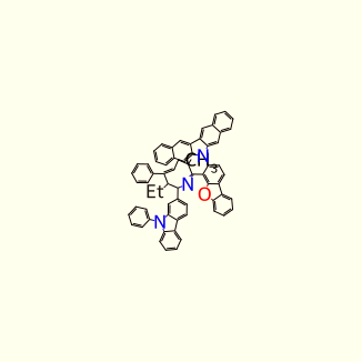 CCC1/C(c2ccccc2)=C/CC(C)/C(c2c(-n3c4cc5ccccc5cc4c4cc5ccccc5cc43)ccc3c2oc2ccccc23)=N\C1c1ccc2c3ccccc3n(-c3ccccc3)c2c1